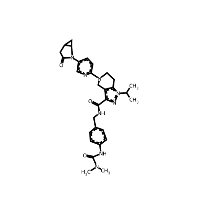 CC(C)n1nc(C(=O)NCc2ccc(NC(=O)N(C)C)cc2)c2c1CCN(c1ccc(N3C(=O)CC4CC43)cn1)C2